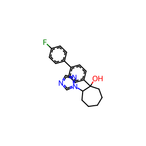 OC1(c2ccc(-c3ccc(F)cc3)cc2)CCCCCC1n1cncn1